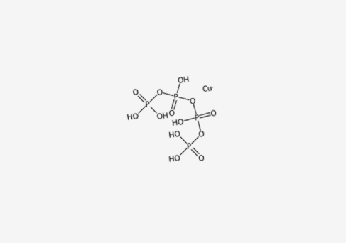 O=P(O)(O)OP(=O)(O)OP(=O)(O)OP(=O)(O)O.[Cu]